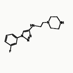 Fc1cccc(-n2cc(NCCN3CCNCC3)nn2)c1